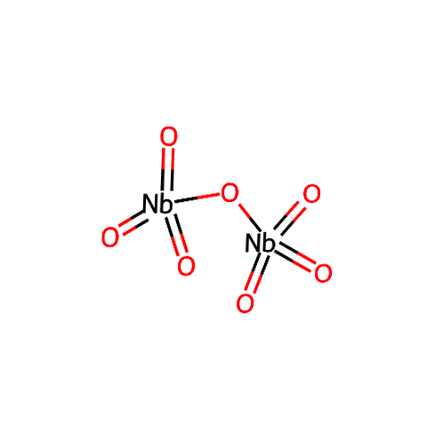 [O]=[Nb](=[O])(=[O])[O][Nb](=[O])(=[O])=[O]